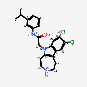 CC(C)c1cccc(NC(=O)Cn2c3c(c4cc(Cl)c(Cl)cc42)CCNCC3)c1